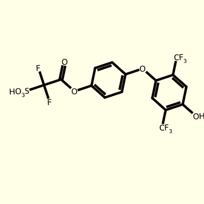 O=C(Oc1ccc(Oc2cc(C(F)(F)F)c(O)cc2C(F)(F)F)cc1)C(F)(F)S(=O)(=O)O